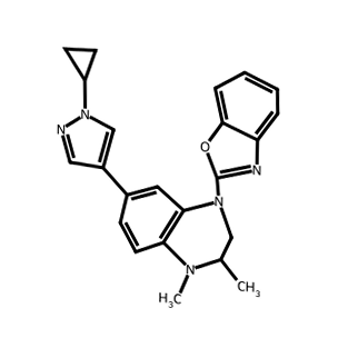 CC1CN(c2nc3ccccc3o2)c2cc(-c3cnn(C4CC4)c3)ccc2N1C